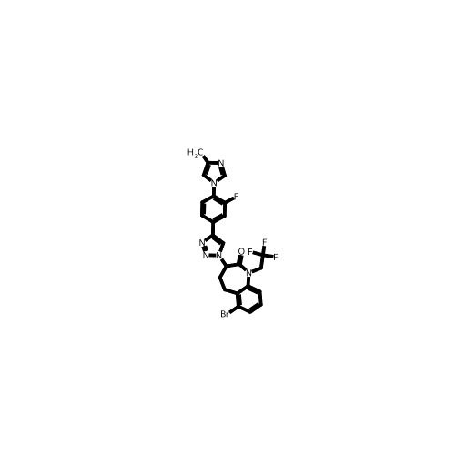 Cc1cn(-c2ccc(-c3cn(C4CCc5c(Br)cccc5N(CC(F)(F)F)C4=O)nn3)cc2F)cn1